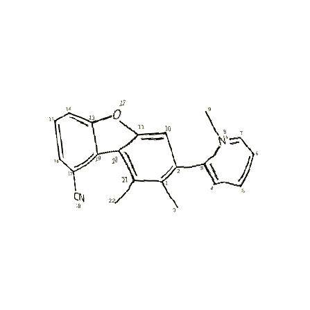 Cc1c(-c2cccc[n+]2C)cc2oc3cccc(C#N)c3c2c1C